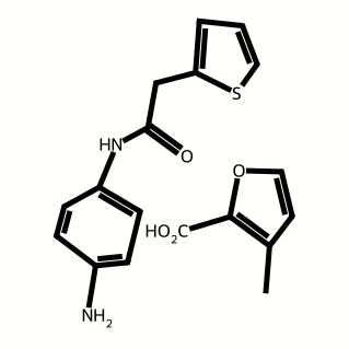 Cc1ccoc1C(=O)O.Nc1ccc(NC(=O)Cc2cccs2)cc1